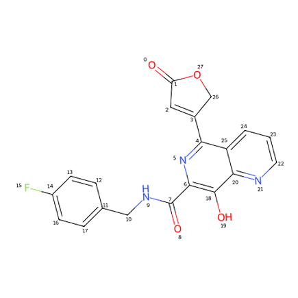 O=C1C=C(c2nc(C(=O)NCc3ccc(F)cc3)c(O)c3ncccc23)CO1